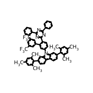 Cc1cc(C)c(-c2ccc3c4ccc(-c5c(C)cc(C)cc5C)cc4n(-c4ccc(-c5nc(-c6ccccc6)nc(-c6ccccc6)n5)c(-c5cc(C(F)(F)F)cc(C(F)(F)F)c5)c4)c3c2)c(C)c1